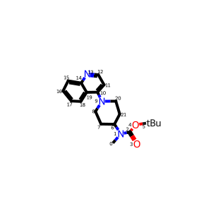 CN(C(=O)OC(C)(C)C)C1CCN(c2ccnc3ccccc23)CC1